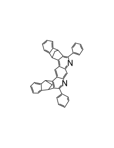 c1ccc(-c2nc3cc4nc(-c5ccccc5)c5c(c4cc3c3c2C2CC3c3ccccc32)C2CC5c3ccccc32)cc1